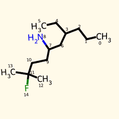 CCCC(CC)CC(N)CCC(C)(C)F